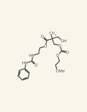 COCCOC(=O)OCC(C)(CO)C(=O)OCCNC(=O)Nc1ccccc1